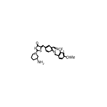 COc1ccc(Cn2ncc3cc(/C=C4\SC(N5CCC[C@H](N)C5)=NC4=O)ccc32)c(C(F)(F)F)c1